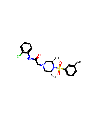 C[C@@H]1CN(CC(=O)Nc2ccccc2Cl)C[C@H](C)N1S(=O)(=O)c1cccc(C#N)c1